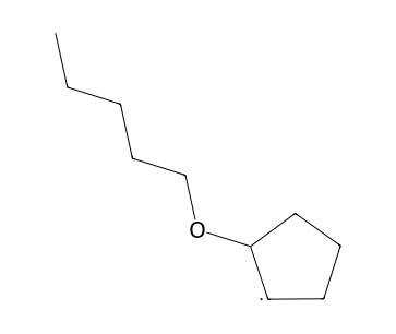 CCCCCOC1[CH]CCC1